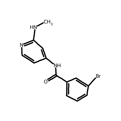 CNc1cc(NC(=O)c2cccc(Br)c2)ccn1